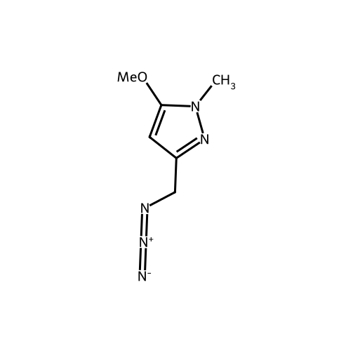 COc1cc(CN=[N+]=[N-])nn1C